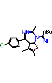 C=C(c1ccc(Cl)cc1)c1c(N(C(C)=N)C(=N)CCCC)sc(C)c1C